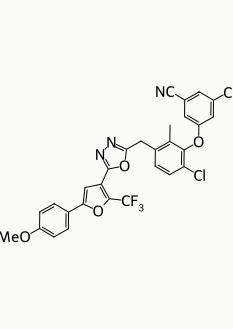 COc1ccc(-c2cc(-c3nnc(Cc4ccc(Cl)c(Oc5cc(Cl)cc(C#N)c5)c4C)o3)c(C(F)(F)F)o2)cc1